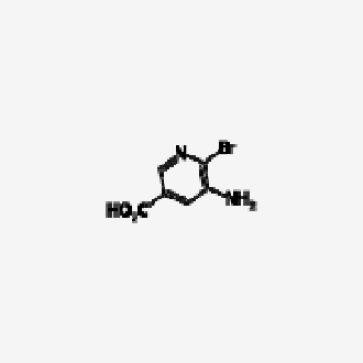 Nc1cc(C(=O)O)cnc1Br